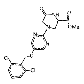 COC(=O)C1CN(c2ncc(OCc3c(Cl)cccc3Cl)cn2)CC(=O)N1